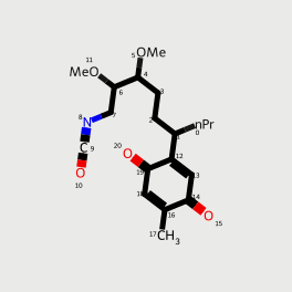 CCCC(CCC(OC)C(CN=C=O)OC)C1=CC(=O)C(C)=CC1=O